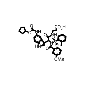 COc1cccc(C(=O)N(C(C(=O)NCCC(=O)O)c2c[nH]c3ccc(NC(=O)OC4CCCC4)cc23)S(=O)(=O)c2ccccc2C)c1